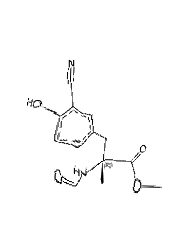 COC(=O)[C@@](C)(Cc1ccc(O)c(C#N)c1)NC=O